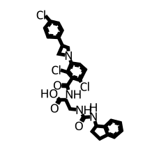 O=C(NCC(NC(=O)c1c(Cl)ccc(N2CC(c3ccc(Cl)cc3)C2)c1Cl)C(=O)O)NC1CCc2ccccc21